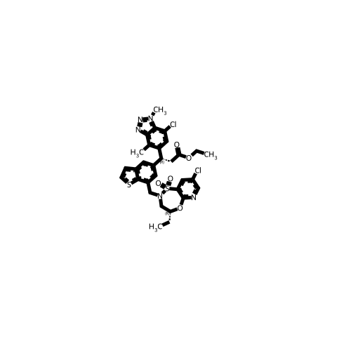 CCOC(=O)C[C@H](c1cc(CN2C[C@@H](CC)Oc3ncc(Cl)cc3S2(=O)=O)c2sccc2c1)c1cc(Cl)c2c(nnn2C)c1C